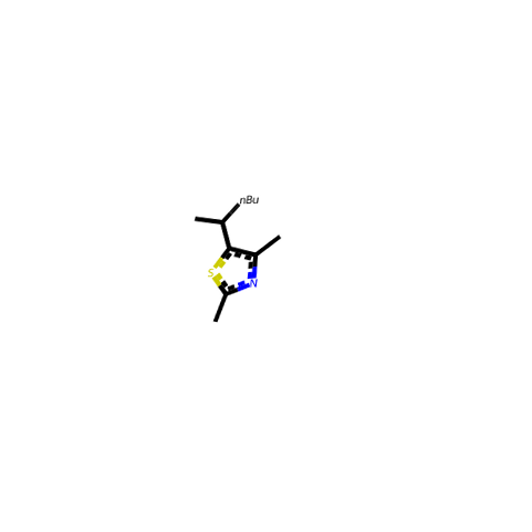 [CH2]CCCC(C)c1sc(C)nc1C